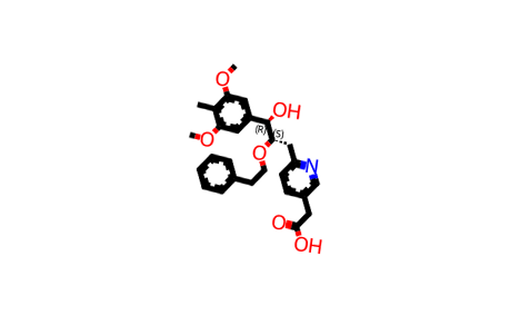 COc1cc([C@@H](O)[C@H](Cc2ccc(CC(=O)O)cn2)OCCc2ccccc2)cc(OC)c1C